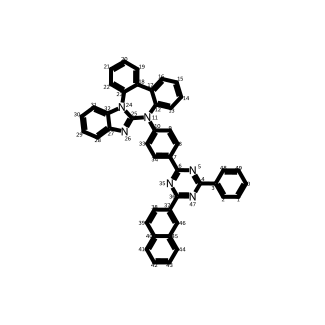 c1ccc(-c2nc(-c3ccc(N4c5ccccc5-c5ccccc5-n5c4nc4ccccc45)cc3)nc(-c3ccc4ccccc4c3)n2)cc1